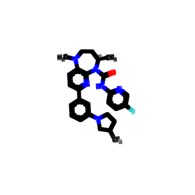 C[C@@H]1CCN(C)c2ccc(-c3cccc(N4CCC(C(F)(F)F)C4)c3)nc2N1C(=O)Nc1ccc(F)cn1